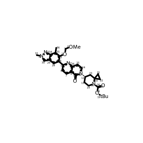 COCOc1c(-c2ccc3c(=O)n([C@H]4CCN(C(=O)OC(C)(C)C)C5(CC5)C4)ccc3n2)cc2cn(C)nc2c1C